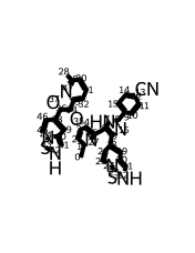 Cc1cccc(-c2[nH]c(-c3ccc(C#N)cc3)nc2C2=CC3=CNSN3C=C2)n1.Cc1cccc(C(=O)C(=O)C2=CC3=CNSN3C=C2)n1